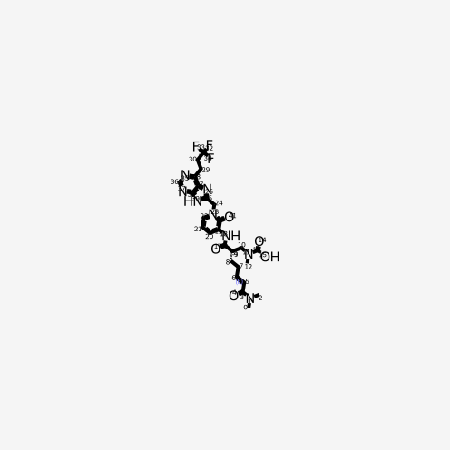 CN(C)C(=O)/C=C/CC[C@@H](CN(C)C(=O)O)C(=O)Nc1cccn(Cc2nc3c(CCC(F)(F)F)ncnc3[nH]2)c1=O